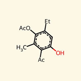 CCc1cc(O)c(C(C)=O)c(C)c1OC(C)=O